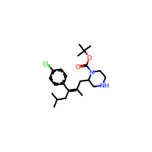 CC(CC1CNCCN1C(=O)OC(C)(C)C)=C(CC(C)C)c1ccc(Cl)cc1